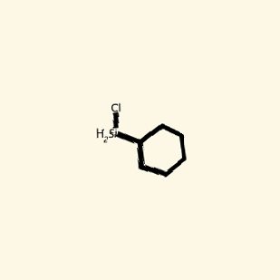 Cl[SiH2]C1CCCCC1